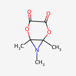 CN1C2(C)OC(=O)C(=O)OC12C